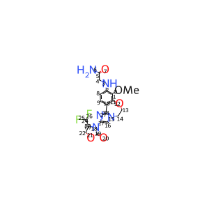 COc1c(NCC(N)=O)ccc2c1OCCn1cc(N3C(=O)OC[C@H]3C(F)F)nc1-2